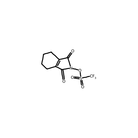 O=C1C2=C(CCCC2)C(=O)N1OS(=O)(=O)C(F)(F)F